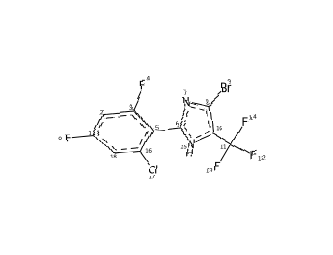 Fc1cc(F)c(-c2nc(Br)c(C(F)(F)F)[nH]2)c(Cl)c1